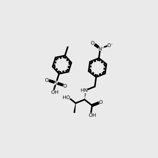 C[C@@H](O)[C@H](NCc1ccc([N+](=O)[O-])cc1)C(=O)O.Cc1ccc(S(=O)(=O)O)cc1